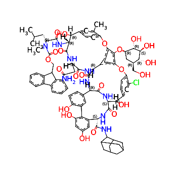 Cc1cc2ccc1Oc1cc3cc(c1O[C@@H]1C[C@H](CO)[C@@H](O)[C@H](O)[C@H]1O)Oc1ccc(cc1Cl)[C@@H](O)[C@@H]1NC(=O)[C@H](NC(=O)[C@@H]3NC(=O)[C@H](CC(N)=O)NC(=O)[C@H](NC(=O)[C@@H](CC(C)C)N(C)C(=O)OCC3c4ccccc4-c4ccccc43)[C@@H]2O)c2ccc(O)c(c2)-c2c(O)cc(O)cc2[C@@H](C(=O)NC2C3CC4CC(C3)CC2C4)NC1=O